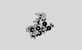 CN[C@@H]1[C@@H](O)[C@@H](O[C@@H]2[C@@H](O)[C@H](C3OC(CNC(=O)C(F)(F)F)=CC[C@H]3NC(=O)OCc3ccc([N+](=O)[O-])cc3)[C@@H](NC(=O)OCc3ccc([N+](=O)[O-])cc3)C[C@H]2NC(=O)[C@@H](O)CNC(=O)OC(C)(C)C)OC[C@]1(C)O